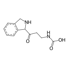 O=C(O)NCCC(=O)C1NCc2ccccc21